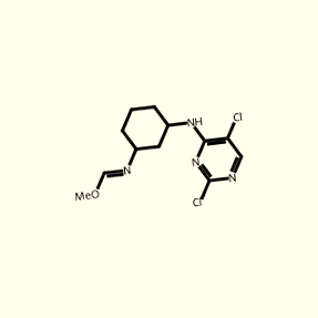 COC=NC1CCCC(Nc2nc(Cl)ncc2Cl)C1